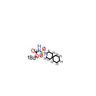 CC(C)(C)OC(=O)NS(=O)(=O)N1CCC2(CCCCC2)CC1